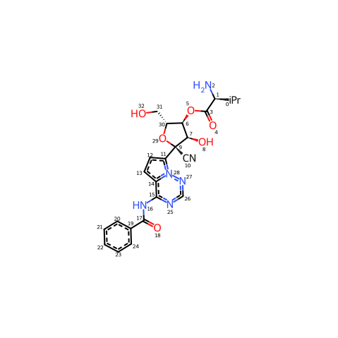 CC(C)[C@H](N)C(=O)O[C@H]1[C@@H](O)[C@](C#N)(c2ccc3c(NC(=O)c4ccccc4)ncnn23)O[C@@H]1CO